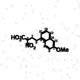 COc1ccc2c(CCC(C(=O)O)[N+](=O)[O-])cccc2c1